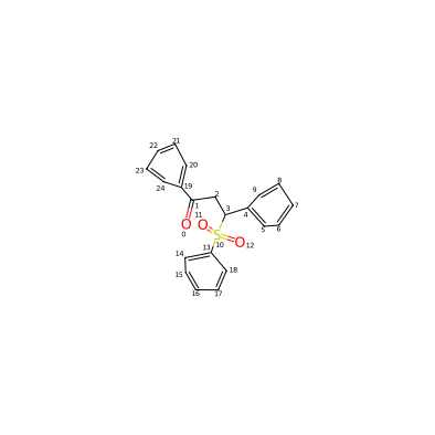 O=C(CC(c1ccccc1)S(=O)(=O)c1ccccc1)c1ccccc1